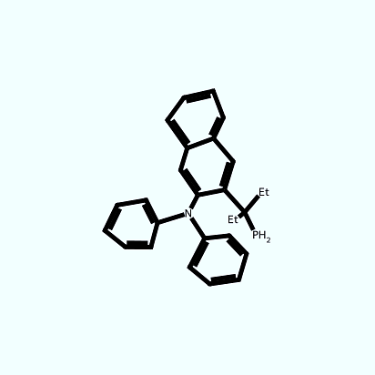 CCC(P)(CC)c1cc2ccccc2cc1N(c1ccccc1)c1ccccc1